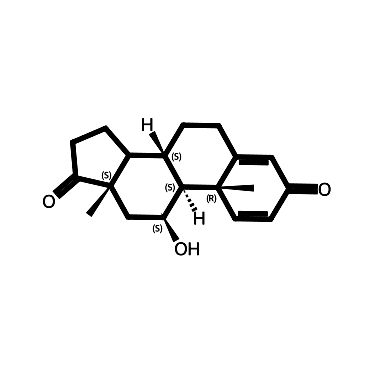 C[C@]12C=CC(=O)C=C1CC[C@H]1C3CCC(=O)[C@@]3(C)C[C@H](O)[C@@H]12